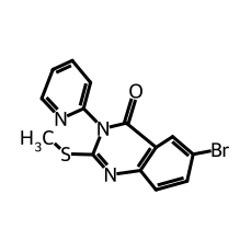 CSc1nc2ccc(Br)cc2c(=O)n1-c1ccccn1